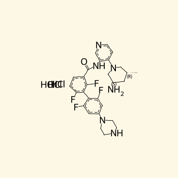 C[C@@H]1C[C@H](N)CN(c2ccncc2NC(=O)c2ccc(F)c(-c3c(F)cc(N4CCNCC4)cc3F)c2F)C1.Cl.Cl.Cl